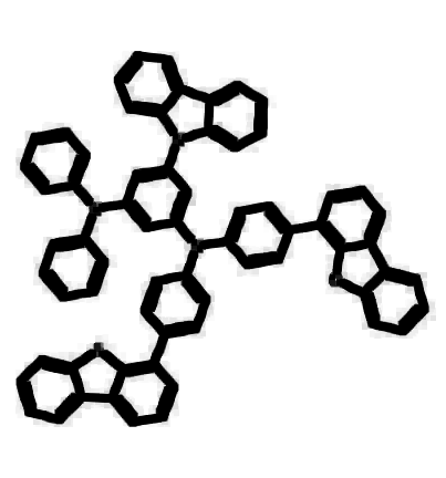 c1ccc(N(c2ccccc2)c2cc(N(c3ccc(-c4cccc5c4oc4ccccc45)cc3)c3ccc(-c4cccc5c4sc4ccccc45)cc3)cc(-n3c4ccccc4c4ccccc43)c2)cc1